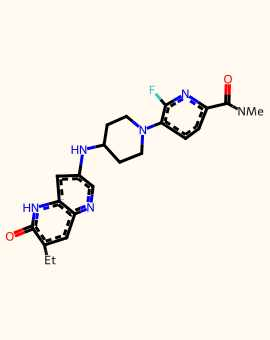 CCc1cc2ncc(NC3CCN(c4ccc(C(=O)NC)nc4F)CC3)cc2[nH]c1=O